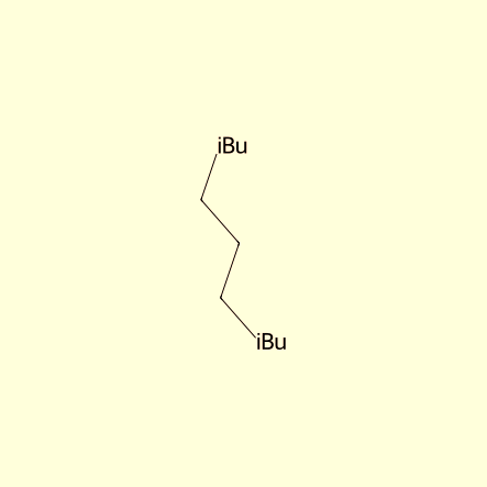 C[CH]C(C)CCCC(C)CC